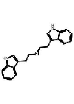 c1ccc2c(CCNCCc3c[nH]c4ccccc34)c[nH]c2c1